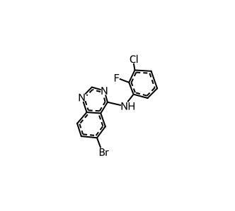 Fc1c(Cl)cccc1Nc1ncnc2ccc(Br)cc12